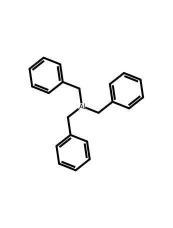 c1ccc([CH2][Al]([CH2]c2ccccc2)[CH2]c2ccccc2)cc1